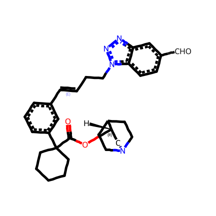 O=Cc1ccc2c(c1)nnn2CC/C=C/c1cccc(C2(C(=O)O[C@H]3CN4CCC3CC4)CCCCC2)c1